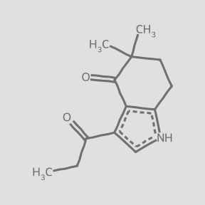 CCC(=O)c1c[nH]c2c1C(=O)C(C)(C)CC2